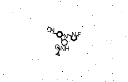 CO/N=C/c1ccc2c(c1)C1C[C@H](NC(=O)C3CC3)CCC1N2Cc1cccc(F)n1